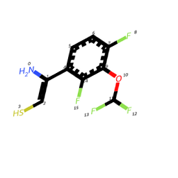 N/C(=C\S)c1ccc(F)c(OC(F)F)c1F